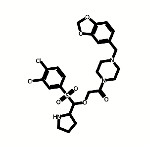 O=C(COC(C1CCCN1)S(=O)(=O)c1ccc(Cl)c(Cl)c1)N1CCN(Cc2ccc3c(c2)OCO3)CC1